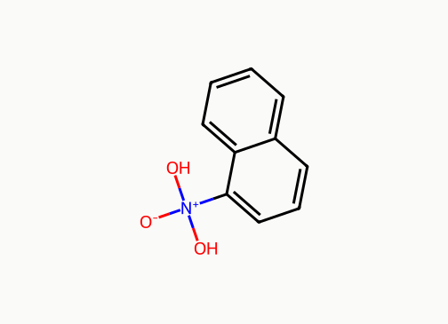 [O-][N+](O)(O)c1cccc2ccccc12